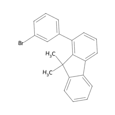 CC1(C)c2ccccc2-c2cccc(-c3cccc(Br)c3)c21